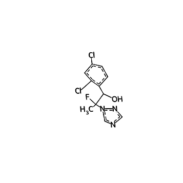 CC(F)(C(O)c1ccc(Cl)cc1Cl)n1cncn1